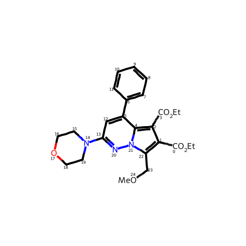 CCOC(=O)c1c(C(=O)OCC)c2c(-c3ccccc3)cc(N3CCOCC3)nn2c1COC